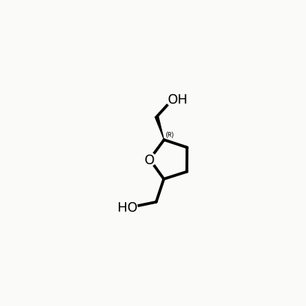 OCC1CC[C@H](CO)O1